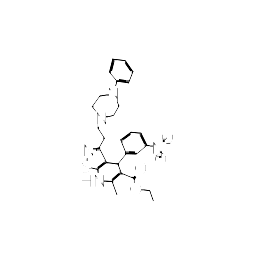 CCOC(=O)C1=C(C)Nc2snc(CCN3CCN(c4ccccc4)CC3)c2C1c1cccc([N+](=O)[O-])c1